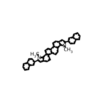 Cn1c(-c2ccc3ccccc3c2)cc2ccc3c4ccc5c(ccc6cc(-c7ccc8ccccc8c7)n(C)c65)c4ccc3c21